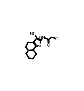 N#Cc1c(NC(=O)CCl)sc2c1CCC1CCCCC21